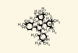 CC1CC(C)(C)NCCN1c1nc(N2CCNC(C)(C)CC2C)nc(N(C2CC(C)(C)NC(C)(C)C2)C2CC(C)(C)NC(C)(C)C2)n1